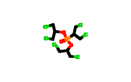 O=P(OC(CCl)CCl)(OC(CCl)CCl)C(CCl)CCl